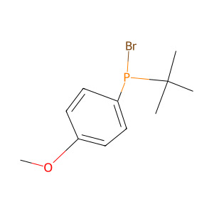 COc1ccc(P(Br)C(C)(C)C)cc1